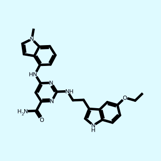 CCOc1ccc2[nH]cc(CCNc3nc(Nc4cccc5c4ccn5C)cc(C(N)=O)n3)c2c1